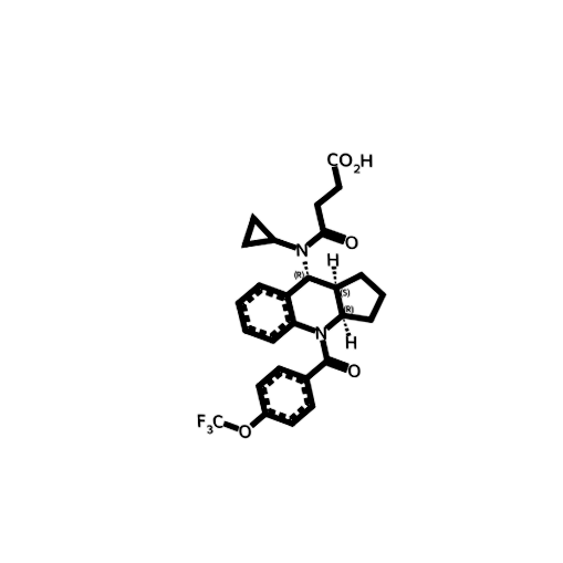 O=C(O)CCC(=O)N(C1CC1)[C@H]1c2ccccc2N(C(=O)c2ccc(OC(F)(F)F)cc2)[C@@H]2CCC[C@@H]21